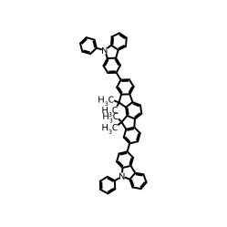 CC1(C)c2cc(-c3ccc4c(c3)c3ccccc3n4-c3ccccc3)ccc2-c2ccc3c(c21)C(C)(C)c1cc(-c2ccc4c(c2)c2ccccc2n4-c2ccccc2)ccc1-3